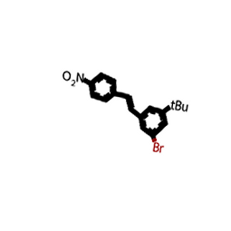 CC(C)(C)c1cc(Br)cc(/C=C/c2ccc([N+](=O)[O-])cc2)c1